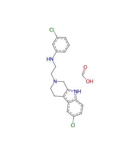 Clc1cccc(NCCN2CCc3c([nH]c4ccc(Cl)cc34)C2)c1.O=CO